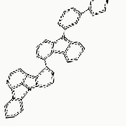 c1ccc(-c2cccc(-n3c4ccccc4c4c(-c5cccc6c5c5cccc7c8ccccc8n6c75)cccc43)c2)cc1